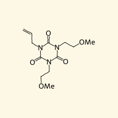 C=CCn1c(=O)n(CCOC)c(=O)n(CCOC)c1=O